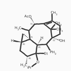 CCC1(OC(C)C)[C@H](C)C[C@@H]2C[C@@]23C(C)[C@H](OC(C)=O)C2=C(C)CC[C@@](O)(C(P)[C@@H]13)C2(C)C